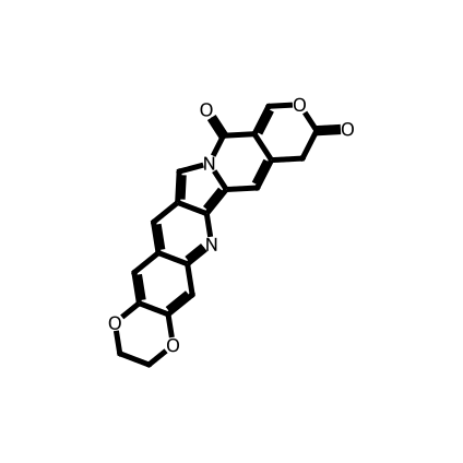 O=C1Cc2cc3c4nc5cc6c(cc5cc4cn3c(=O)c2=CO1)OCCO6